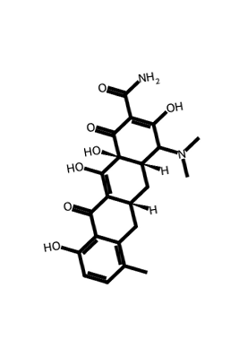 Cc1ccc(O)c2c1C[C@H]1C[C@H]3C(N(C)C)C(O)=C(C(N)=O)C(=O)[C@@]3(O)C(O)=C1C2=O